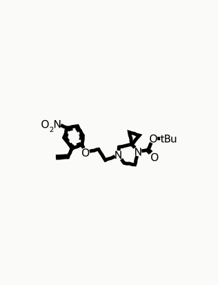 C=Cc1cc([N+](=O)[O-])ccc1OCCN1CCN(C(=O)OC(C)(C)C)C2(CC2)C1